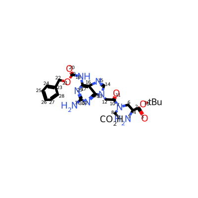 CC(C)(C)OC(=O)C(N)CN(CC(=O)O)C(=O)Cn1cnc2c(NC(=O)OCc3ccccc3)nc(N)nc21